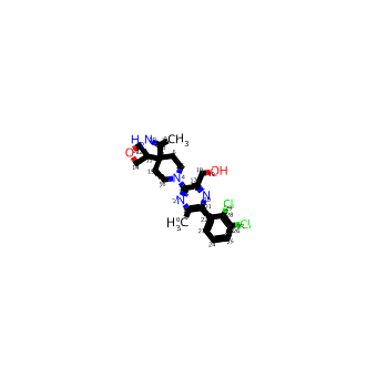 Cc1nc(N2CCC(C(C)N)(C3COC3)CC2)c(CO)nc1-c1cccc(Cl)c1Cl